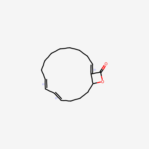 O=C1OC2CCC/C=C/C=C/CCCCCCC/C=C\12